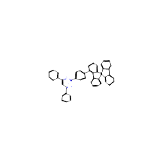 c1ccc(-c2cc(-c3ccccc3)nc(-c3ccc(-c4cccc5c4-c4ccccc4C54c5ccccc5-c5ccccc54)cc3)n2)cc1